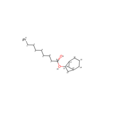 CC(C)CCCCCCCC(=O)OC1CC2CCCC1C2